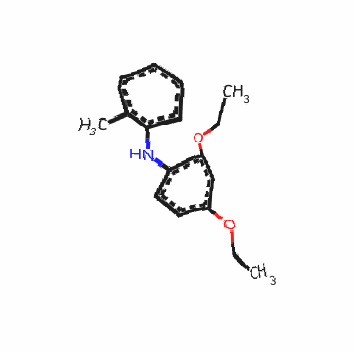 CCOc1ccc(Nc2ccccc2C)c(OCC)c1